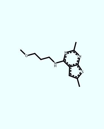 COCCCNc1nc(C)nc2sc(C)cc12